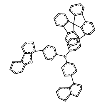 c1ccc2c(c1)-c1ccccc1C21c2ccccc2-c2cccc(-c3ccc(N(c4ccc(-c5cccc6ccccc56)cc4)c4ccc(-c5cccc6c5oc5ccccc56)cc4)cc3)c21